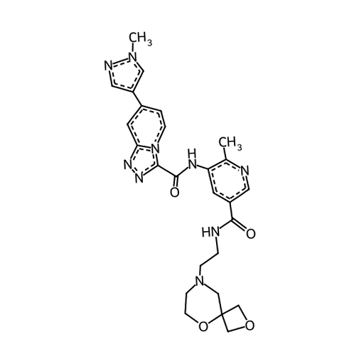 Cc1ncc(C(=O)NCCN2CCOC3(COC3)C2)cc1NC(=O)c1nnc2cc(-c3cnn(C)c3)ccn12